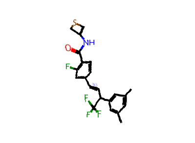 Cc1cc(C)cc(C(/C=C/c2ccc(C(=O)NC3CSC3)c(F)c2)C(F)(F)F)c1